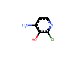 Nc1ccnc(Cl)c1O